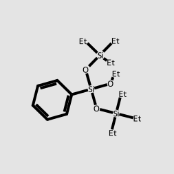 CCO[Si](O[Si](CC)(CC)CC)(O[Si](CC)(CC)CC)c1ccccc1